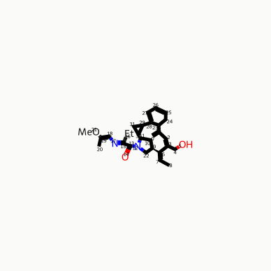 C=C(/C=C(CO)\C(=C/C)[C@@H]1CCN(C(=O)/C(CC)=N/C=C(\C)OC)C1)C1CC=CC=C1C1CC1